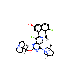 [2H]C([2H])(Oc1nc(N2C[C@H]3CC[C@@H](C2)N3)c2cnc(-c3cc(O)cc4ccc(F)c(C#C)c34)c(F)c2n1)C12CCCN1CCC2